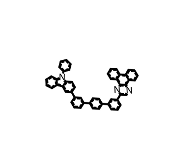 c1ccc(-n2c3ccccc3c3cc(-c4cccc(-c5ccc(-c6cccc(-c7cnc8c9ccccc9c9ccccc9c8n7)c6)cc5)c4)ccc32)cc1